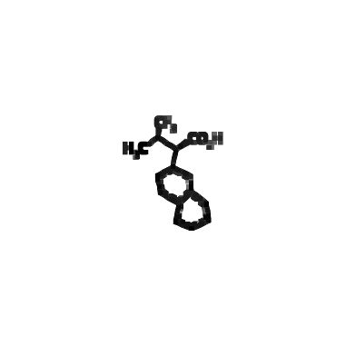 C[C@H]([C@@H](C(=O)O)c1ccc2ccccc2c1)C(F)(F)F